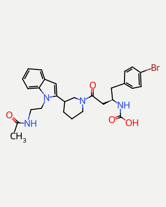 CC(=O)NCCn1c(C2CCCN(C(=O)C[C@@H](Cc3ccc(Br)cc3)NC(=O)O)C2)cc2ccccc21